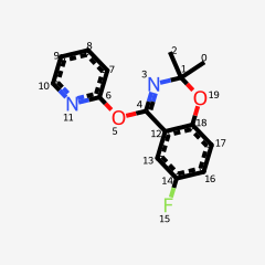 CC1(C)N=C(Oc2ccccn2)c2cc(F)ccc2O1